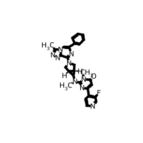 Cc1nnc2c(N3C[C@@H]4C(N(C)c5nc(-c6ccncc6F)cc(=O)n5C)[C@@H]4C3)nc(-c3ccccc3)cn12